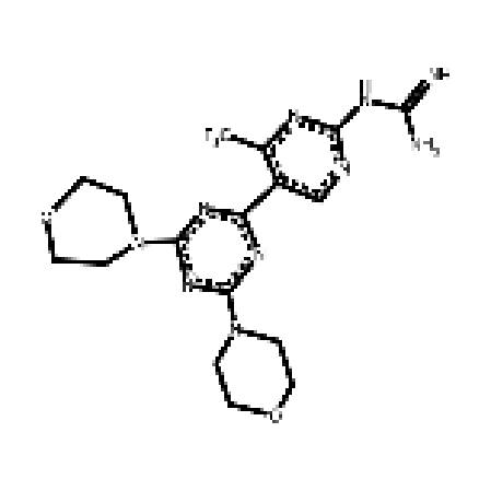 N=C(N)Nc1ncc(-c2nc(N3CCOCC3)nc(N3CCOCC3)n2)c(C(F)(F)F)n1